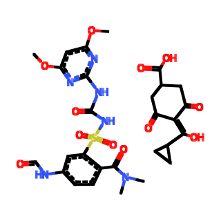 COc1cc(OC)nc(NC(=O)NS(=O)(=O)c2cc(NC=O)ccc2C(=O)N(C)C)n1.O=C1CC(C(=O)O)CC(=O)C1=C(O)C1CC1